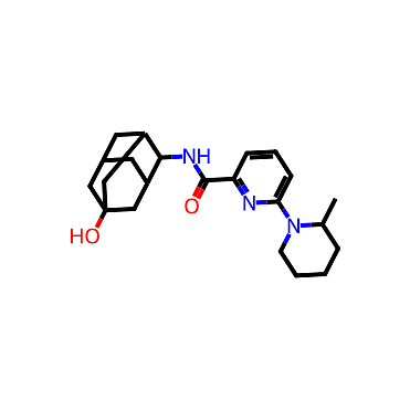 CC1CCCCN1c1cccc(C(=O)NC2C3CC4CC2CC(O)(C4)C3)n1